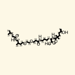 C=C(O)CCC(C)(C)C(=O)N[C@@H](CCCCNC(=O)CCOCCOCCC(C)CNC(=O)CSC(C)C)C(=O)O